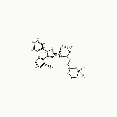 O=C(O)CC(CCN1CCCC(F)(F)C1)NC(=O)c1cc(-c2ccccc2C(F)(F)F)n(-c2cnccn2)n1